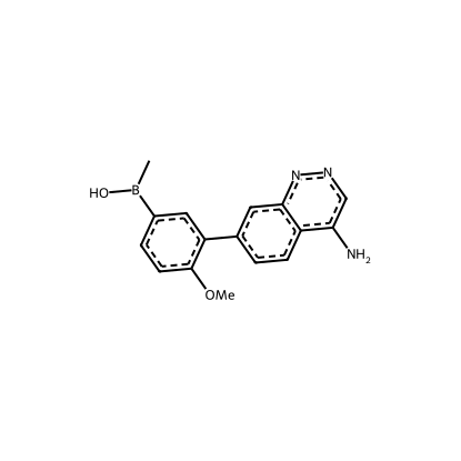 COc1ccc(B(C)O)cc1-c1ccc2c(N)cnnc2c1